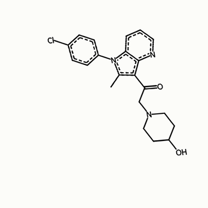 Cc1c(C(=O)CN2CCC(O)CC2)c2ncccc2n1-c1ccc(Cl)cc1